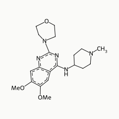 COc1cc2nc(N3CCOCC3)nc(NC3CCN(C)CC3)c2cc1OC